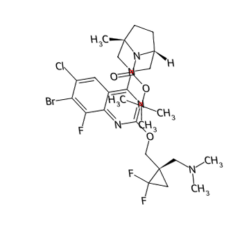 CN(C)C[C@@]1(COc2nc(N3C[C@H]4CC[C@@](C)(C3)N4C(=O)OC(C)(C)C)c3cc(Cl)c(Br)c(F)c3n2)CC1(F)F